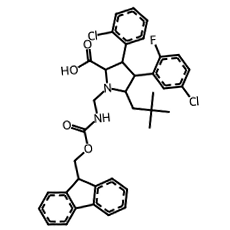 CC(C)(C)CC1C(c2cc(Cl)ccc2F)C(c2ccccc2Cl)C(C(=O)O)N1CNC(=O)OCC1c2ccccc2-c2ccccc21